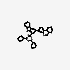 c1ccc(-c2nc(-c3ccccc3)nc(-c3cc(-c4ccc5c(c4)ncc4ccccc45)cc4c3sc3ccccc34)n2)cc1